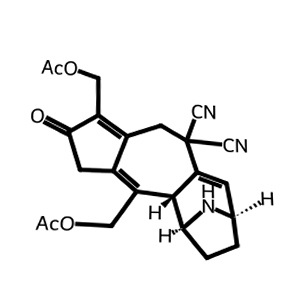 CC(=O)OCC1=C2CC(C#N)(C#N)C3=C[C@H]4CC[C@H](N4)[C@@H]3C(COC(C)=O)=C2CC1=O